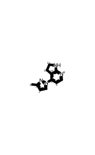 Cc1ccn(-c2ccnc3c2CCN3)n1